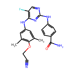 Cc1cc(Nc2nc(Nc3ccc(C(N)=O)cc3)ncc2F)cc(C)c1OCC#N